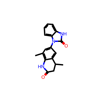 Cc1cc(-n2c(=O)[nH]c3ccccc32)cc2c1NC(=O)CC2C